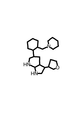 C1CCN(CC2CCCCC2C2CNC3NCC(C4CCOC4)C3C2)CC1